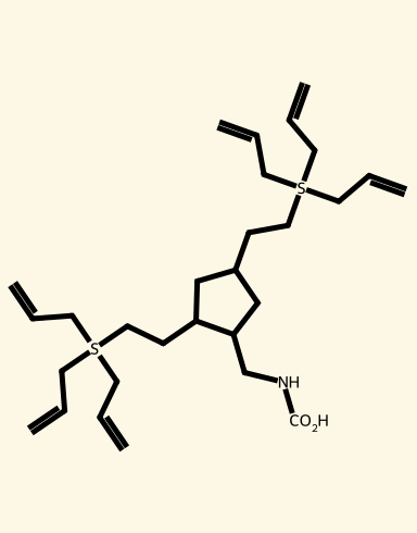 C=CCS(CC=C)(CC=C)CCC1CC(CCS(CC=C)(CC=C)CC=C)C(CNC(=O)O)C1